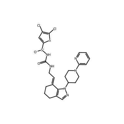 O=C(NC/C=C1\CCCc2cnn(C3CCN(c4ccccn4)CC3)c21)N[S+]([O-])c1cc(Cl)c(Cl)s1